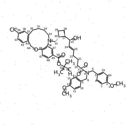 COc1ccc(CN(Cc2ccc(OC)cc2)S(=O)(=O)CCC/C=C/[C@H](O)[C@@H]2CC[C@H]2CN2CCCCc3cc(Cl)ccc3COc3ccc(C(=O)OC(C)(C)C)cc32)cc1